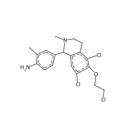 Cc1cc(C2c3cc(Cl)c(OCCCl)c(Cl)c3CCN2C)ccc1N